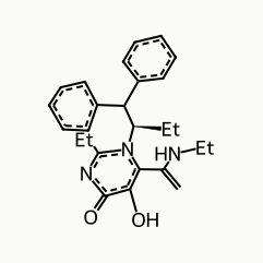 C=C(NCC)c1c(O)c(=O)nc(CC)n1[C@H](CC)C(c1ccccc1)c1ccccc1